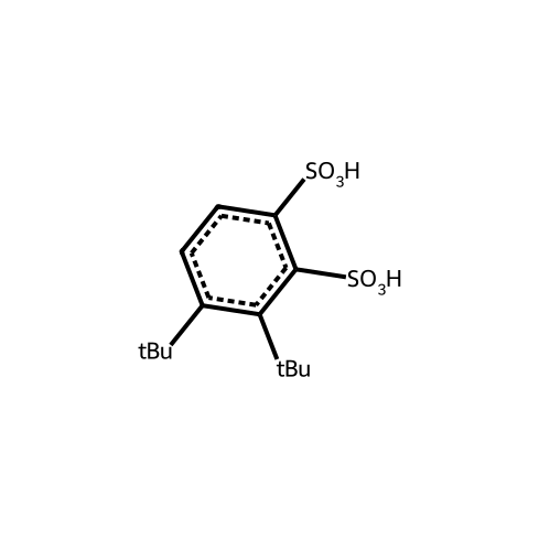 CC(C)(C)c1ccc(S(=O)(=O)O)c(S(=O)(=O)O)c1C(C)(C)C